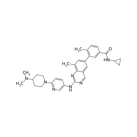 Cc1ccc(C(=O)NC2CC2)cc1-c1cc(C)c2nc(Nc3ccc(N4CCC(N(C)C)CC4)nc3)ncc2c1